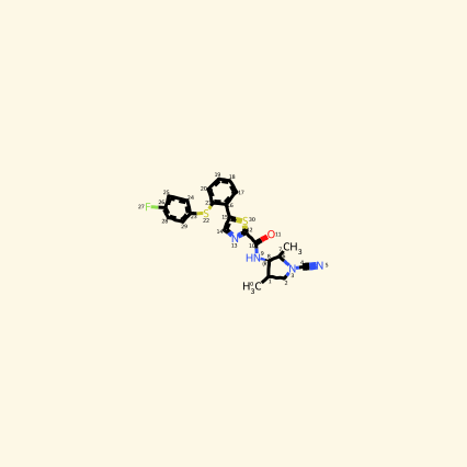 CC1CN(C#N)C(C)[C@@H]1NC(=O)c1ncc(-c2ccccc2Sc2ccc(F)cc2)s1